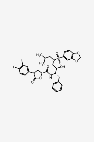 CC(C)CN(C[C@@H](O)[C@H](Cc1ccccc1)NC(=O)[C@@H]1CN(c2ccc(F)c(F)c2)C(=O)O1)S(=O)(=O)c1ccc2c(c1)OCO2